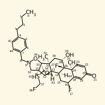 CCCCc1ccc(CN2C[C@@H]3C[C@H]4[C@@H]5C[C@H](F)C6=CC(=O)C=C[C@]6(C)[C@@]5(F)[C@@H](O)C[C@]4(C)[C@]3(C(=O)SCF)O2)cc1